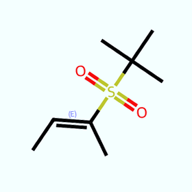 C/C=C(\C)S(=O)(=O)C(C)(C)C